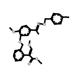 CO/C=C(/C(=O)OC)c1ccccc1COc1cc(/C(C)=N/OCc2ccc(C)cc2)ccc1OC